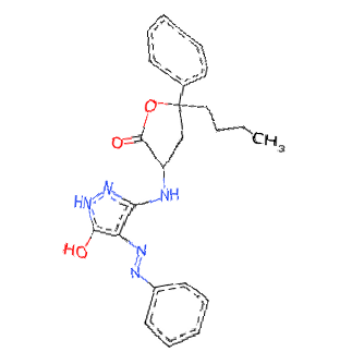 CCCCC1(c2ccccc2)CC(Nc2n[nH]c(O)c2N=Nc2ccccc2)C(=O)O1